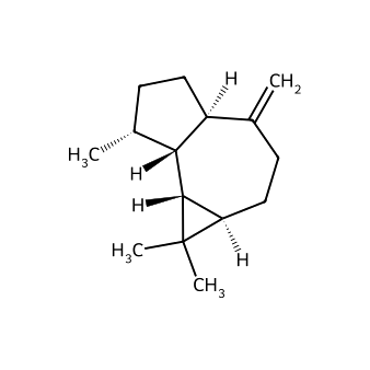 C=C1CC[C@@H]2[C@@H]([C@@H]3[C@H](C)CC[C@@H]13)C2(C)C